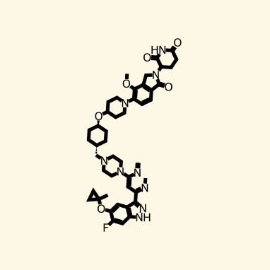 C=N/C(=C\C(=N/C)c1n[nH]c2cc(F)c(OC3(C)CC3)cc12)N1CCN(C[C@H]2CC[C@H](OC3CCN(c4ccc5c(c4OC)CN(C4CCC(=O)NC4=O)C5=O)CC3)CC2)CC1